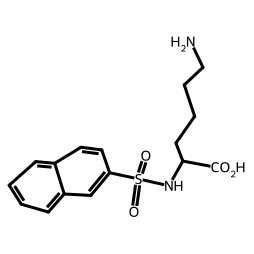 NCCCCC(NS(=O)(=O)c1ccc2ccccc2c1)C(=O)O